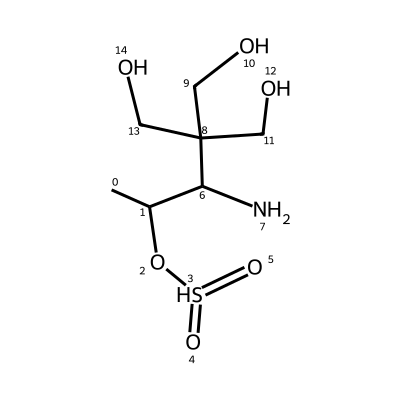 CC(O[SH](=O)=O)C(N)C(CO)(CO)CO